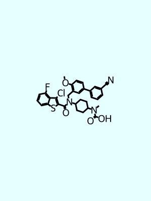 COc1ccc(-c2cccc(C#N)c2)cc1CN(C(=O)c1sc2cccc(F)c2c1Cl)C1CCC(N(C)C(=O)O)CC1